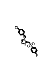 O=S(=O)(CC1=NN=C[SH]1Cc1ccc(Cl)cc1)c1ccc(F)cc1